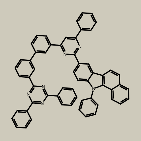 c1ccc(-c2cc(-c3cccc(-c4cccc(-c5nc(-c6ccccc6)nc(-c6ccccc6)n5)c4)c3)nc(-c3ccc4c(c3)c3ccc5ccccc5c3n4-c3ccccc3)n2)cc1